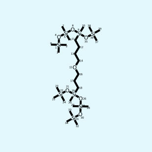 C[Si](C)(C)O[Si](C)(C)O[Si](C)(CCCCOCCC[Si](C)(O[Si](C)(C)C)O[Si](C)(C)O[Si](C)(C)C)O[Si](C)(C)C